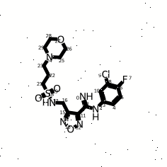 N=C(Nc1ccc(F)c(Cl)c1)c1nonc1CNS(=O)(=O)CCCN1CCOCC1